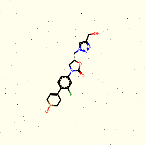 O=C1O[C@@H](Cn2cc(CO)nn2)CN1c1ccc(C2=CC[S+]([O-])CC2)c(F)c1